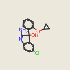 NC1=Nc2ccc(Cl)cc2C1(O)c1ccccc1OC1CC1